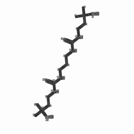 CC(C)(C=O)CCNC(=S)NCCCNC(=S)NCCC(C)(C)C=O